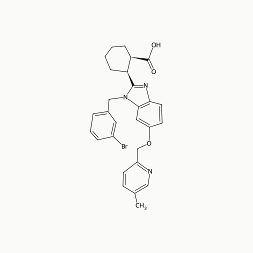 Cc1ccc(COc2ccc3nc([C@H]4CCCC[C@H]4C(=O)O)n(Cc4cccc(Br)c4)c3c2)nc1